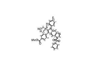 COC(=O)c1ccc(-c2c(C(C)(C)CC#N)n(-c3ccc(F)cc3)c3cc4ncn(S(=O)(=O)c5ccccc5)c4cc23)cc1